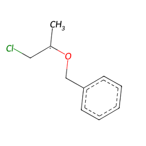 C[C](CCl)OCc1ccccc1